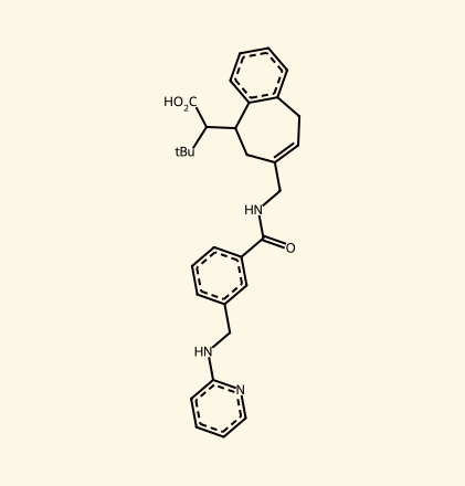 CC(C)(C)C(C(=O)O)C1CC(CNC(=O)c2cccc(CNc3ccccn3)c2)=CCc2ccccc21